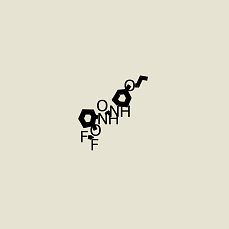 CCCOc1ccc(NC(=O)Nc2ccccc2OC(F)F)cc1